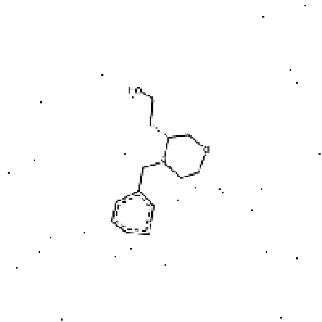 OCC[C@@H]1COCCN1Cc1ccccc1